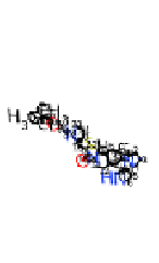 C[C@H]1CCC[N+]1(c1ccc2c(c1)CCN(C(=O)c1cc3c(ccn3CCOC[Si](C)(C)C)s1)C2)[C@H]1CCNC1